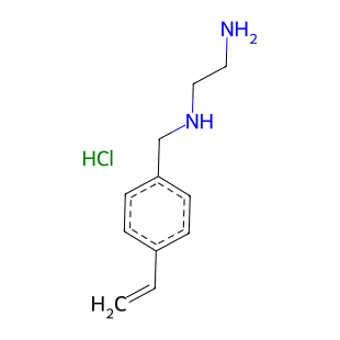 C=Cc1ccc(CNCCN)cc1.Cl